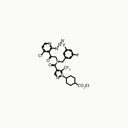 CCOC(=O)C1CCC(n2ncc(C(=O)N(CC(=O)c3c(Cl)ccnc3N=[N+]=[N-])Cc3cc(F)cc(F)c3)c2C(F)(F)F)CC1